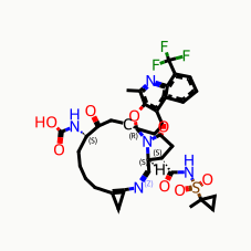 Cc1nc2c(C(F)(F)F)cccc2c2c1O[C@@]1(CCC(=O)[C@@H](NC(=O)O)CCCCC3=C(C3)/N=C\[C@@H]3[C@@H](C(=O)NS(=O)(=O)C4(C)CC4)CC(=O)N31)CC2